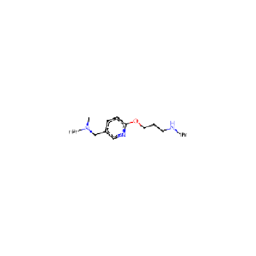 CCCN(C)Cc1ccc(OCCCNC(C)C)nc1